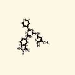 Cc1cc(Nc2nc(-c3ccncc3)nc(-c3ccc4[nH][nH]c(=O)c4c3)n2)n[nH]1